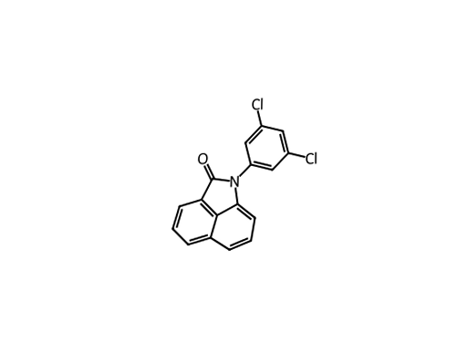 O=C1c2cccc3cccc(c23)N1c1cc(Cl)cc(Cl)c1